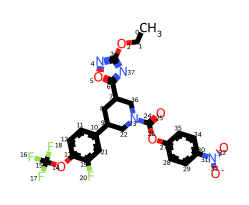 CCOc1noc(C2CC(c3ccc(OC(F)(F)F)c(F)c3)CN(C(=O)Oc3ccc([N+](=O)[O-])cc3)C2)n1